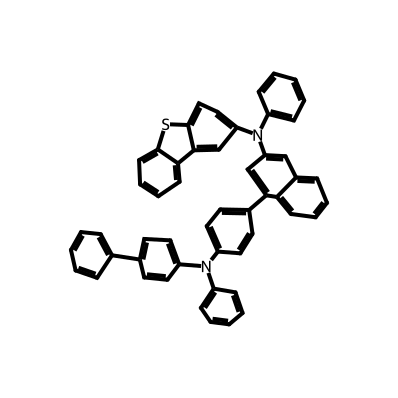 c1ccc(-c2ccc(N(c3ccccc3)c3ccc(-c4cc(N(c5ccccc5)c5ccc6sc7ccccc7c6c5)cc5ccccc45)cc3)cc2)cc1